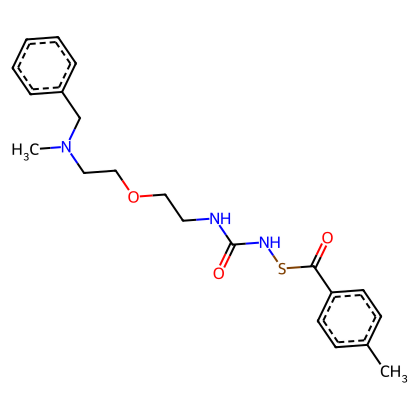 Cc1ccc(C(=O)SNC(=O)NCCOCCN(C)Cc2ccccc2)cc1